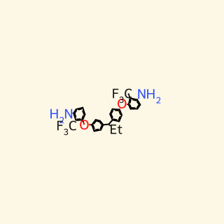 CCC(c1ccc(Oc2cccc(N)c2C(F)(F)F)cc1)c1ccc(Oc2cccc(N)c2C(F)(F)F)cc1